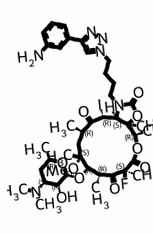 CO[C@@]1(C)C[C@@H](C)C(=O)[C@H](I)[C@H]2N(CCCCn3cc(-c4cccc(N)c4)nn3)C(=O)O[C@]2(C)[C@@H](C)OC(=O)[C@@](C)(F)C(=O)[C@H](C)[C@H]1O[C@@H]1O[C@H](C)C[C@H](N(C)C)[C@H]1O